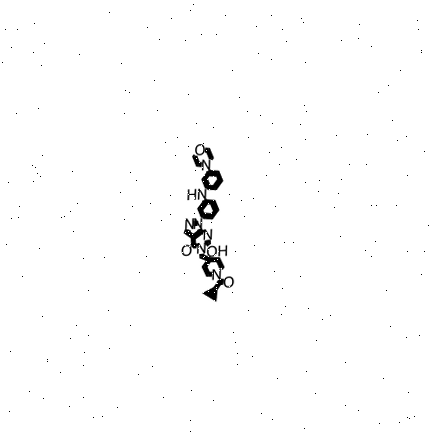 O=C(C1CC1)N1CCC(O)(Cn2cnc3c(cnn3-c3cccc(Nc4cccc(N5CCOCC5)c4)c3)c2=O)CC1